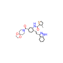 Cc1ccsc1C(=O)Nc1cc(C(=O)N2CCC3(CC2)OCCO3)ccc1/C=C/c1n[nH]c2ccccc12